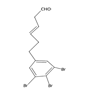 O=[C]C/C=C/CCc1cc(Br)c(Br)c(Br)c1